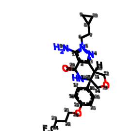 Nc1c2c(nn1CCC1CC1)[C@@H]1COC[C@]1(c1ccc(OCCCC(F)(F)F)cc1)NC2=O